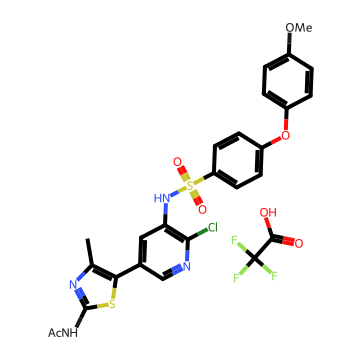 COc1ccc(Oc2ccc(S(=O)(=O)Nc3cc(-c4sc(NC(C)=O)nc4C)cnc3Cl)cc2)cc1.O=C(O)C(F)(F)F